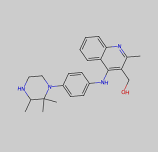 Cc1nc2ccccc2c(Nc2ccc(N3CCNC(C)C3(C)C)cc2)c1CO